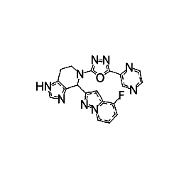 Fc1cccn2nc(C3c4nc[nH]c4CCN3c3nnc(-c4cnccn4)o3)cc12